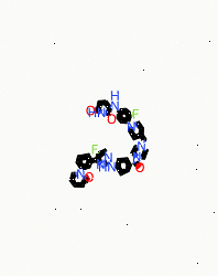 O=C1CCC(Nc2ccc(N3CCC(CN4CCN(C(=O)[C@H]5CC[C@H](Nc6ncc(F)c(-c7cccc(N8CCCCC8=O)c7)n6)CC5)CC4)CC3)c(F)c2)C(=O)N1